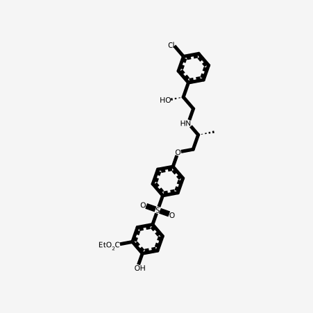 CCOC(=O)c1cc(S(=O)(=O)c2ccc(OC[C@@H](C)NC[C@H](O)c3cccc(Cl)c3)cc2)ccc1O